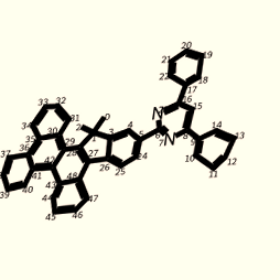 CC1(C)c2cc(-c3nc(-c4ccccc4)cc(-c4ccccc4)n3)ccc2-c2c1c1c3ccccc3c3ccccc3c1c1ccccc21